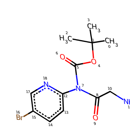 CC(C)(C)OC(=O)N(C(=O)CN)c1ccc(Br)cn1